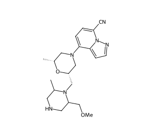 COCC1CNCC(C)N1C[C@H]1CN(c2ccc(C#N)n3nccc23)C[C@@H](C)O1